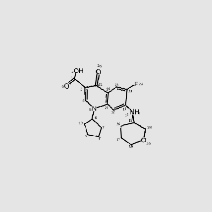 O=C(O)c1cn(C2CCCC2)c2cc(NC3CCCOC3)c(F)cc2c1=O